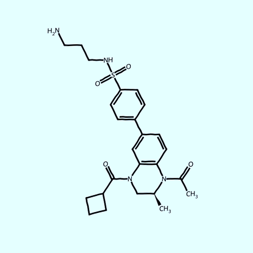 CC(=O)N1c2ccc(-c3ccc(S(=O)(=O)NCCCN)cc3)cc2N(C(=O)C2CCC2)C[C@@H]1C